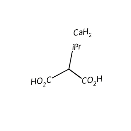 CC(C)C(C(=O)O)C(=O)O.[CaH2]